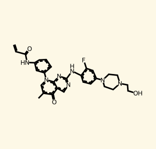 C=CC(=O)Nc1cccc(-n2cc(C)c(=O)c3cnc(Nc4ccc(N5CCN(CCO)CC5)cc4F)nc32)c1